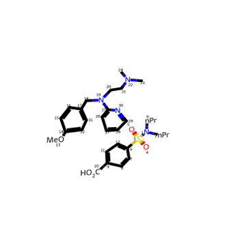 CCCN(CCC)S(=O)(=O)c1ccc(C(=O)O)cc1.COc1ccc(CN(CCN(C)C)c2ccccn2)cc1